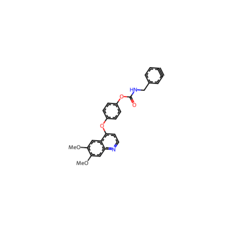 COc1cc2nccc(Oc3ccc(OC(=O)NCc4cc#ccc4)cc3)c2cc1OC